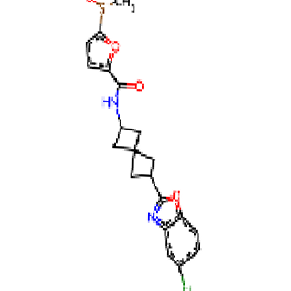 C[S+]([O-])c1ccc(C(=O)NC2CC3(C2)CC(c2nc4cc(Cl)ccc4o2)C3)o1